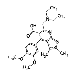 CCN(CC)Cc1nc2sc(C)c(C)c2c(-c2ccc(OC)c(OC)c2)c1C(=O)O